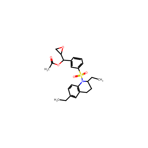 CCc1ccc2c(c1)CCC(CC)N2S(=O)(=O)c1cccc(C(OC(C)=O)C2CO2)c1